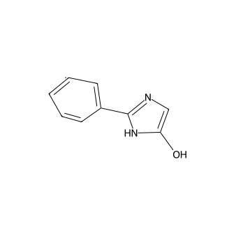 Oc1cnc(-c2c[c]ccc2)[nH]1